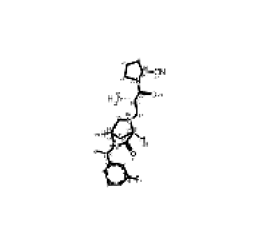 C[C@H](c1cccc(F)c1)N1C(=O)[C@@H]2C[C@H]1CN2C[C@H](N)C(=O)N1CCC[C@H]1C#N